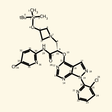 CC(C)(C)[Si](C)(C)OC1CN(C[C@H](Oc2ncnc3c2cnn3-c2ncccc2Cl)C(=O)Nc2ccc(Cl)cn2)C1